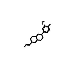 CC=CC1CCC2CC(c3ccc(C)c(F)c3)CCC2C1